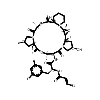 CC/C=C/C(=O)N[C@@H](Cc1cc(F)cc(F)c1)C(=O)N[C@@H]1C(=O)N2C[C@H](O)C[C@H]2C2O[C@@H]2N2CCCC[C@H]2C(=O)N[C@@H](C)C(=O)N2C[C@H](C)C[C@H]2C(=O)O[C@H]1C